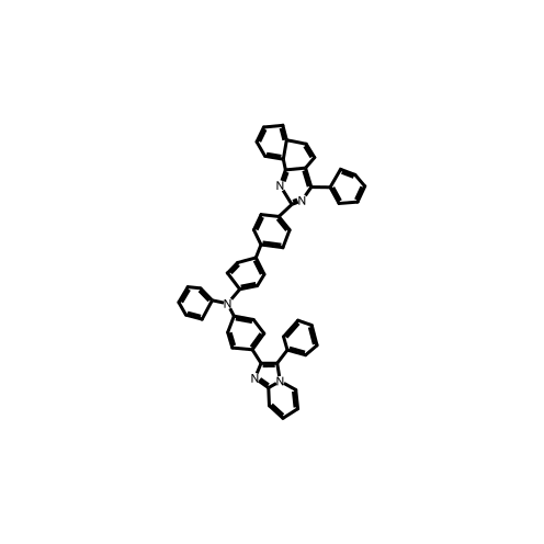 c1ccc(-c2nc(-c3ccc(-c4ccc(N(c5ccccc5)c5ccc(-c6nc7ccccn7c6-c6ccccc6)cc5)cc4)cc3)nc3c2ccc2ccccc23)cc1